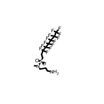 CN(CCCN)S(=O)(=O)CCC(F)(F)C(F)(F)C(F)(F)C(F)(F)C(F)(F)C(F)(F)F